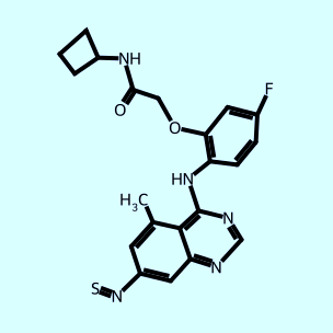 Cc1cc(N=S)cc2ncnc(Nc3ccc(F)cc3OCC(=O)NC3CCC3)c12